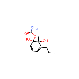 CCCC1=CC=CC(O)(OC(N)=O)C1(C)O